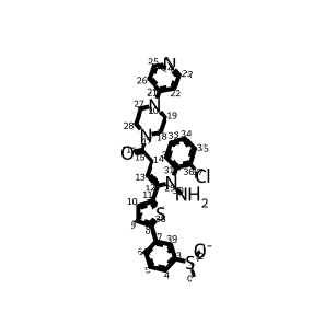 C[S+]([O-])c1cccc(-c2ccc(/C(=C/CC(=O)N3CCN(c4ccncc4)CC3)N(N)c3ccccc3Cl)s2)c1